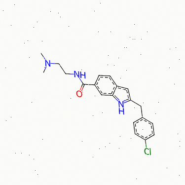 CN(C)CCNC(=O)c1ccc2cc(Cc3ccc(Cl)cc3)[nH]c2c1